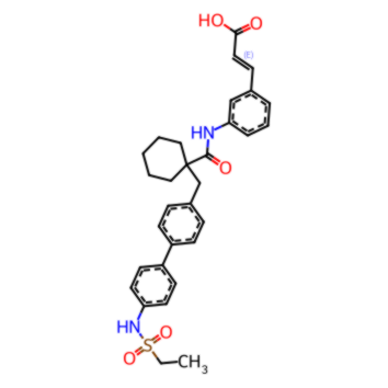 CCS(=O)(=O)Nc1ccc(-c2ccc(CC3(C(=O)Nc4cccc(/C=C/C(=O)O)c4)CCCCC3)cc2)cc1